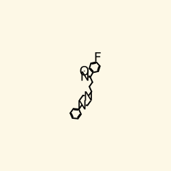 Fc1ccc2c(CCCN3CCN(c4ccccc4)CC3)noc2c1